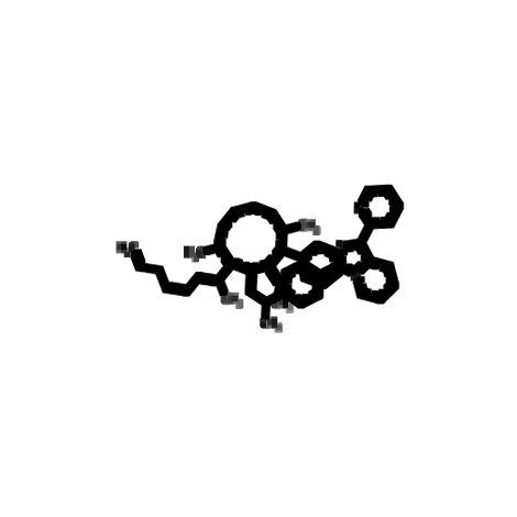 C=CC/C=C\C=C(/C)c1c(C)ccccc(C)c(-c2ccccc2)c(=C/C)/c1=C\C(C)c1ccc(-c2nc(-c3ccccn3)c3ccccn23)cc1